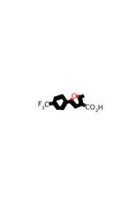 Cc1oc(-c2ccc(C(F)(F)F)cc2)cc1C(=O)O